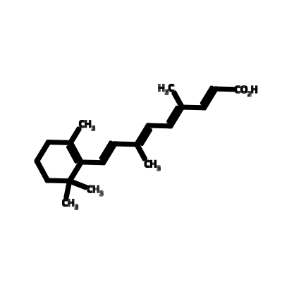 CC1=C(/C=C/C(C)=C/C=C(C)/C=C/C(=O)O)C(C)(C)CCC1